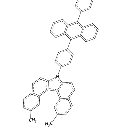 Cc1ccc2ccc3c(c2c1)c1c2cc(C)ccc2ccc1n3-c1ccc(-c2c3ccccc3c(-c3ccccc3)c3ccccc23)cc1